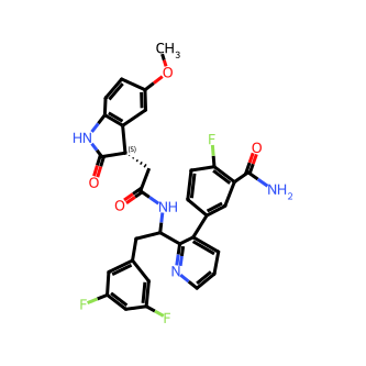 COc1ccc2c(c1)[C@H](CC(=O)NC(Cc1cc(F)cc(F)c1)c1ncccc1-c1ccc(F)c(C(N)=O)c1)C(=O)N2